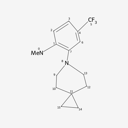 CNc1ccc(C(F)(F)F)cc1N1CCC2(CC1)CC2